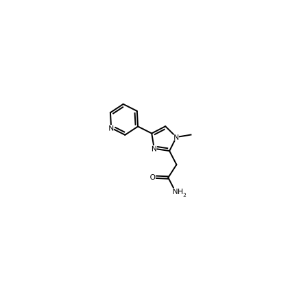 Cn1cc(-c2cccnc2)nc1CC(N)=O